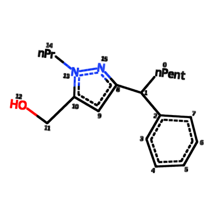 CCCCCC(c1ccccc1)c1cc(CO)n(CCC)n1